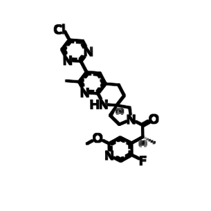 COc1cc([C@@H](C)C(=O)N2CC[C@@]3(CCc4cc(-c5ncc(Cl)cn5)c(C)nc4N3)C2)c(F)cn1